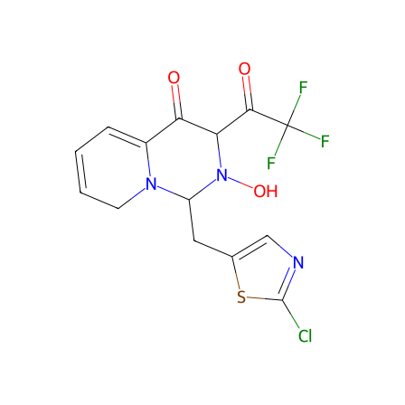 O=C1C2=CC=CCN2C(Cc2cnc(Cl)s2)N(O)C1C(=O)C(F)(F)F